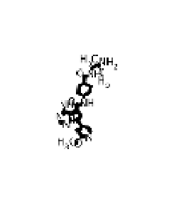 COc1cc(-c2cc(C(=O)NC3CCC(C(=O)NCC(C)(C)N)CC3)c3c(N)ncnn23)ccn1